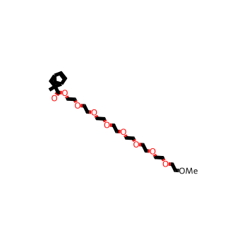 COCCOCCOCCOCCOCCOCCOCCOCCOC(=O)C1(C)CC2C=CC1C2